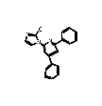 Clc1nccn1-c1cc(-c2ccccc2)cc(-c2ccccc2)n1